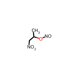 CC(C[N+](=O)[O-])ON=O